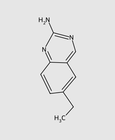 CCc1ccc2nc(N)ncc2c1